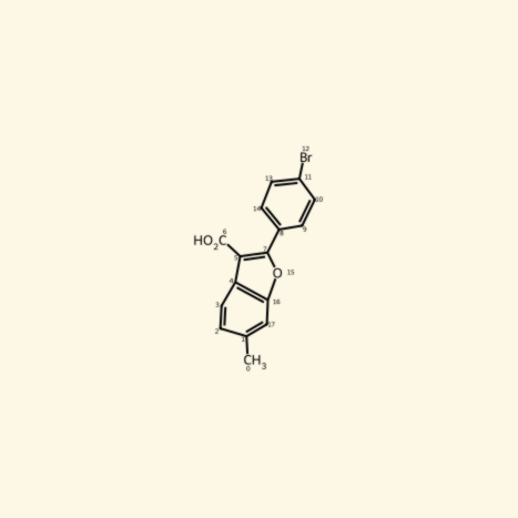 Cc1ccc2c(C(=O)O)c(-c3ccc(Br)cc3)oc2c1